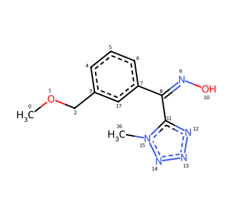 COCc1cccc(C(=NO)c2nnnn2C)c1